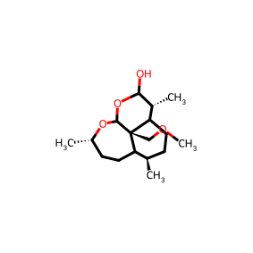 COC[C@@]12C3OC(O)[C@H](C)C1CC[C@@H](C)C2CC[C@H](C)O3